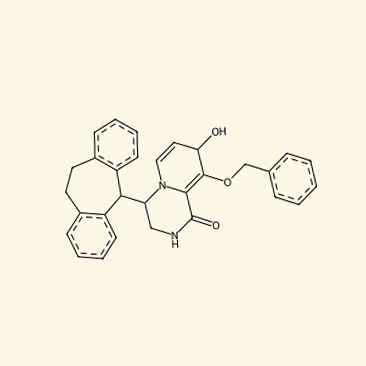 O=C1NCC(C2c3ccccc3CCc3ccccc32)N2C=CC(O)C(OCc3ccccc3)=C12